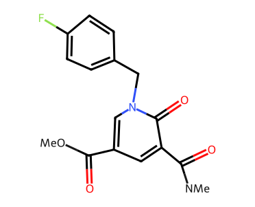 CNC(=O)c1cc(C(=O)OC)cn(Cc2ccc(F)cc2)c1=O